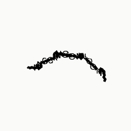 CCCCN1CCN(CCOCCOCCN2CCN(CCOCCOCCN3CCN(CCOCCOCCN4CCN(CCCC)C4)C3)C2)C1